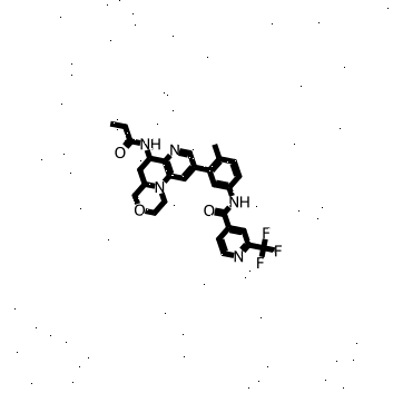 CCC(=O)NC1CC2COCCN2c2cc(-c3cc(NC(=O)c4ccnc(C(F)(F)F)c4)ccc3C)cnc21